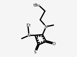 CCN(C)c1c(N(C)CCC(C)(C)C)c(=O)c1=S